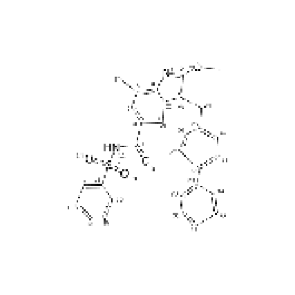 COc1nc2c(C)cc(C(=O)NS(=O)(=O)c3ccccc3)cc2n1Cc1ccc(-c2ccccc2)cc1